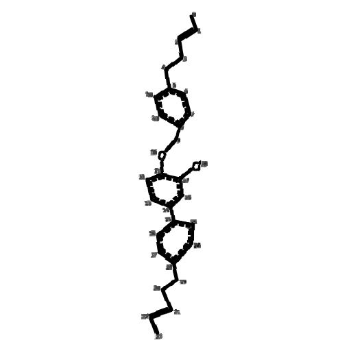 C/C=C/CCc1ccc(COc2ccc(-c3ccc(CC/C=C/C)cc3)cc2Cl)cc1